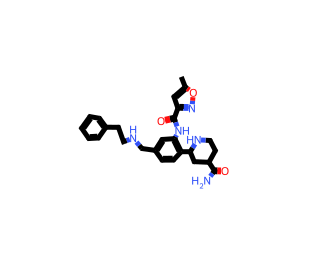 Cc1cc(C(=O)Nc2cc(CNCCc3ccccc3)ccc2C2CC(C(N)=O)CCN2)no1